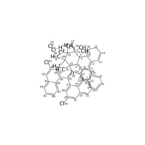 CC12C(=C3Cc4ccccc4C3=C3C=CCCC31)[C](C)([Zr+2]([C]1=CC=CC1)=[C](c1cc(Cl)cc3ccccc13)c1cc(Cl)cc3ccccc13)C(C)(C)C(C)(C)C2(C)C.[Cl-].[Cl-]